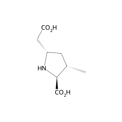 C[C@H]1C[C@@H](CC(=O)O)N[C@@H]1C(=O)O